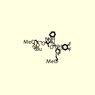 COCCN1C[C@@H](NC(=O)Nc2c(C)c(OC[C@@H](COC)O[Si](C)(C)C(C)(C)C)nn2-c2ccccc2)[C@H](c2ccc(F)c(F)c2)C1